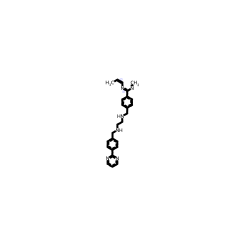 C=N/C(=N\C=C/C)c1ccc(CNCCNCc2ccc(-c3ncccn3)cc2)cc1